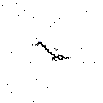 CCCCCCCC/C=C\CCCCCCCCN(c1ccc(OC)cc1)S(=O)(=O)[O-].[Na+]